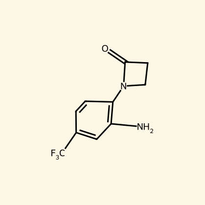 Nc1cc(C(F)(F)F)ccc1N1CCC1=O